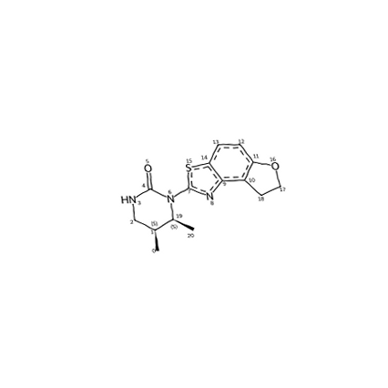 C[C@H]1CNC(=O)N(c2nc3c4c(ccc3s2)OCC4)[C@H]1C